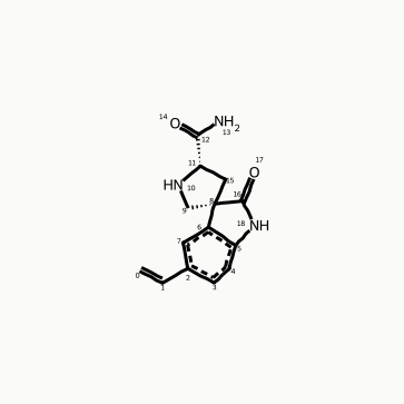 C=Cc1ccc2c(c1)[C@]1(CN[C@H](C(N)=O)C1)C(=O)N2